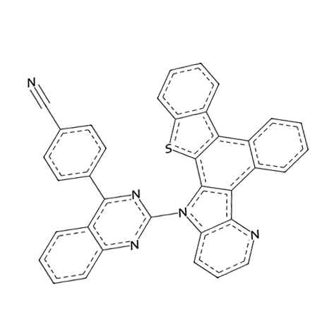 N#Cc1ccc(-c2nc(-n3c4cccnc4c4c5ccccc5c5c6ccccc6sc5c43)nc3ccccc23)cc1